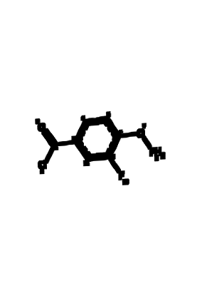 O=C(Cl)c1ccc(OP)c(F)c1